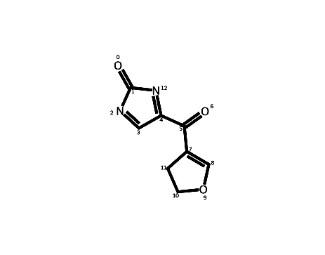 O=C1N=CC(C(=O)C2=COCC2)=N1